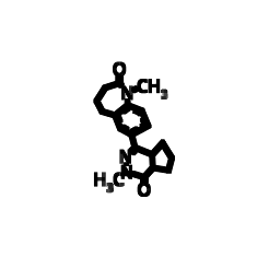 CN1N=C(c2ccc3c(c2)CCCC(=O)N3C)C2CCCC2C1=O